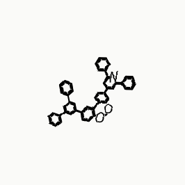 c1ccc(-c2cc(-c3ccccc3)cc(-c3ccc4c(c3)-c3ccc(-c5cc(-c6ccccc6)nc(-c6ccccc6)c5)cc3OCO4)c2)cc1